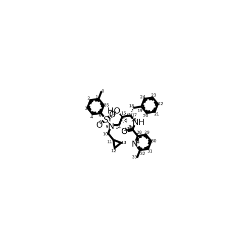 Cc1cccc(S(=O)(=O)N(CC2CC2)C[C@@H](O)[C@H](Cc2ccccc2)NC(=O)c2cccc(C)n2)c1